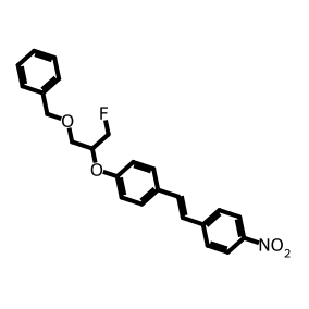 O=[N+]([O-])c1ccc(/C=C/c2ccc(OC(CF)COCc3ccccc3)cc2)cc1